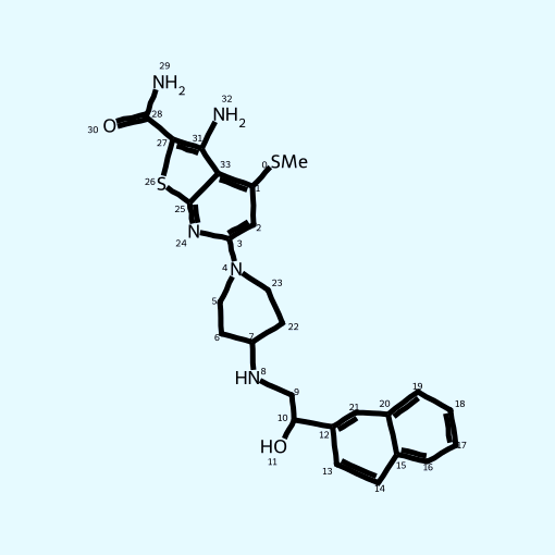 CSc1cc(N2CCC(NCC(O)c3ccc4ccccc4c3)CC2)nc2sc(C(N)=O)c(N)c12